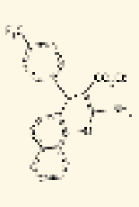 CCOC(=O)C1=C(N)Oc2c(ccc3ccccc23)C1c1ccc(C(F)(F)F)cc1